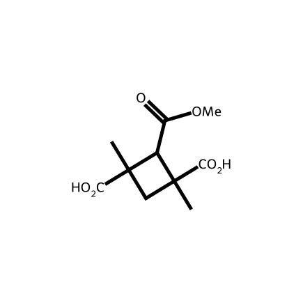 COC(=O)C1C(C)(C(=O)O)CC1(C)C(=O)O